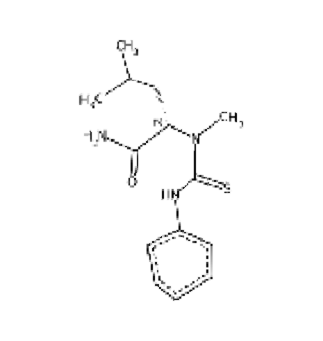 CC(C)C[C@@H](C(N)=O)N(C)C(=S)Nc1ccccc1